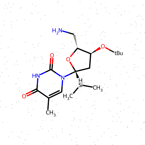 Cc1cn([C@@]2([SiH](C)C)C[C@H](OC(C)(C)C)[C@@H](CN)O2)c(=O)[nH]c1=O